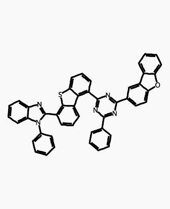 c1ccc(-c2nc(-c3ccc4oc5ccccc5c4c3)nc(-c3cccc4sc5c(-c6nc7ccccc7n6-c6ccccc6)cccc5c34)n2)cc1